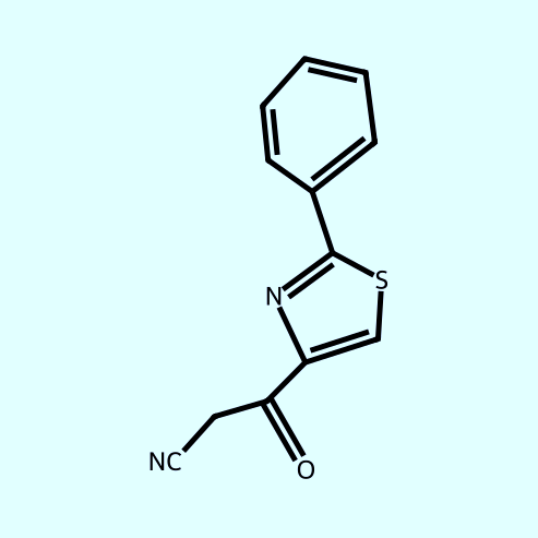 N#CCC(=O)c1csc(-c2ccccc2)n1